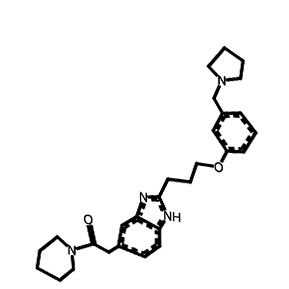 O=C(Cc1ccc2[nH]c(CCCOc3cccc(CN4CCCC4)c3)nc2c1)N1CCCCC1